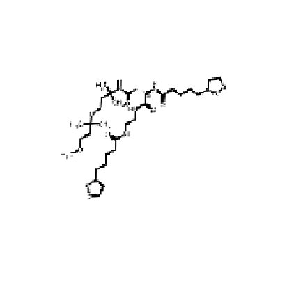 COCCC(C)(C)OCCC(C)(C)NC(=O)C[C@H](NC(=O)CCCCC1CCSS1)C(=O)NCCNC(=O)CCCCC1CCSS1